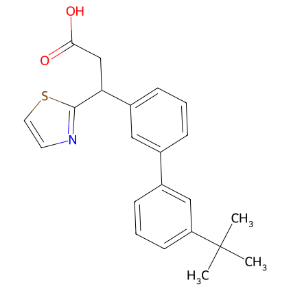 CC(C)(C)c1cccc(-c2cccc(C(CC(=O)O)c3nccs3)c2)c1